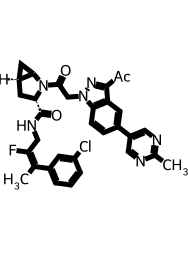 CC(=O)c1nn(CC(=O)N2C3C[C@@H]3C[C@H]2C(=O)NC/C(F)=C(/C)c2cccc(Cl)c2)c2ccc(-c3cnc(C)nc3)cc12